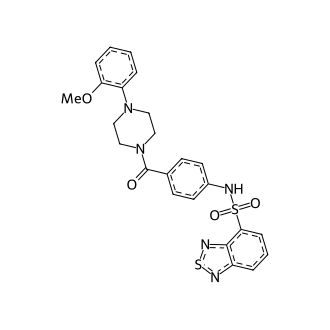 COc1ccccc1N1CCN(C(=O)c2ccc(NS(=O)(=O)c3cccc4nsnc34)cc2)CC1